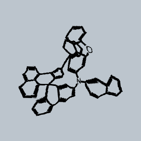 c1ccc2c(c1)-c1ccc(N(c3ccc4ccccc4c3)c3ccc4c(c3)oc3ccccc34)cc1C21c2ccc(C3CCCCC3)cc2-c2cccc3cccc1c23